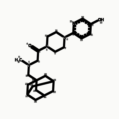 CN(CC(=O)N1CCN(c2ccc(O)cn2)CC1)CC12CC3CC(CC(C3)C1)C2